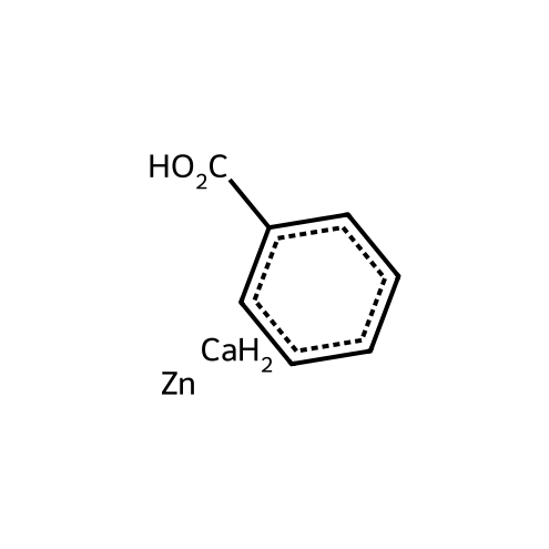 O=C(O)c1ccccc1.[CaH2].[Zn]